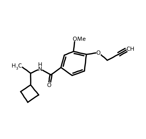 C#CCOc1ccc(C(=O)NC(C)C2CCC2)cc1OC